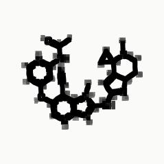 CC(=O)Nc1cc(Oc2cnc3nc(NC4=NC5CCN(C)C6(CC6)C5=C4)n(C)c3c2C#N)ccn1